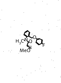 CON=CC(=O)N(C)c1ccccc1COc1ccc(F)cc1